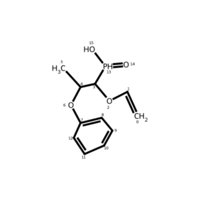 C=COC(C(C)Oc1ccccc1)[PH](=O)O